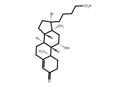 CC(=O)[C@@]1(CCCCC(=O)O)CC[C@H]2[C@@H]3CCC4=CC(=O)CC[C@]4(C)[C@H]3[C@@H](O)C[C@@]21C